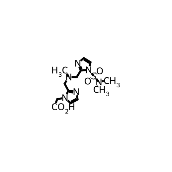 CN(Cc1nccn1CC(=O)O)Cc1nccn1S(=O)(=O)N(C)C